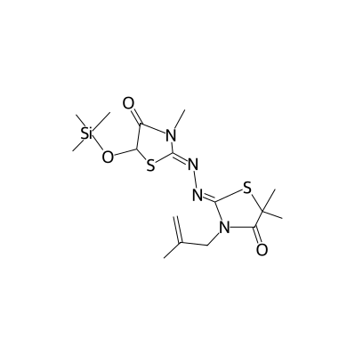 C=C(C)CN1C(=O)C(C)(C)SC1=NN=C1SC(O[Si](C)(C)C)C(=O)N1C